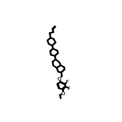 C=CCCC1CCC(C2CCC(C3CCC4CC(COc5ccc(OCC)c(F)c5F)CCC4C3)CC2)CC1